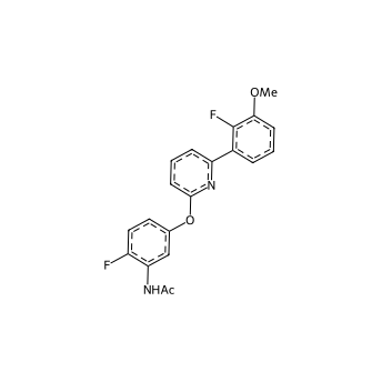 COc1cccc(-c2cccc(Oc3ccc(F)c(NC(C)=O)c3)n2)c1F